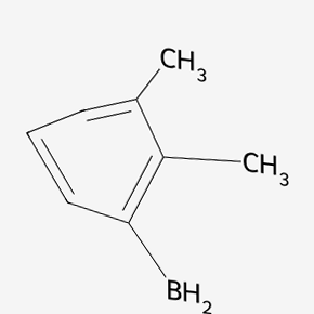 Bc1cccc(C)c1C